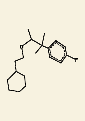 CC(OCCC1CCCCC1)C(C)(C)c1ccc(F)cc1